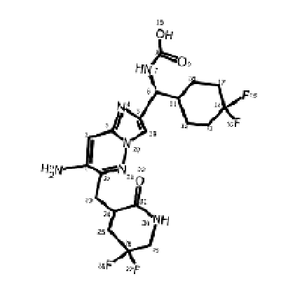 Nc1cc2nc([C@@H](NC(=O)O)C3CCC(F)(F)CC3)cn2nc1CC1CC(F)(F)CNC1=O